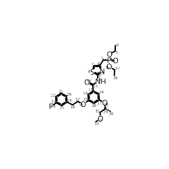 CCOP(=O)(Cc1csc(NC(=O)c2cc(OCCc3cccc(F)c3)cc(O[C@@H](C)COC)c2)n1)OCC